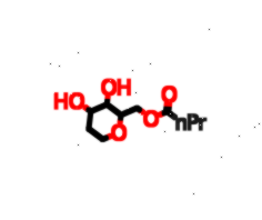 CCCC(=O)OCC1OCCC(O)C1O